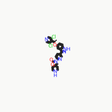 C[C@@H](Oc1ccc2[nH]nc(-c3ccc(N4CC5(CCNCC5)OC4=O)nc3)c2c1)c1c(Cl)cncc1Cl